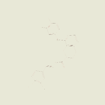 O=C(N/N=C/c1ccc(O)c(Br)c1)N1CCc2ncnc(Nc3ccc(F)c(Cl)c3)c2C1